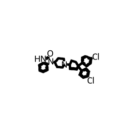 O=c1[nH]c2ccccc2n1C1CCN(C2C=CC(c3ccc(Cl)cc3)(c3ccc(Cl)cc3)CC2)CC1